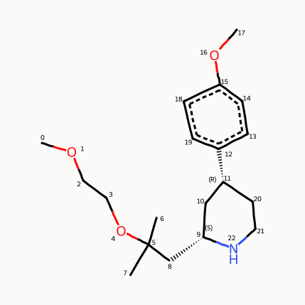 COCCOC(C)(C)C[C@@H]1C[C@H](c2ccc(OC)cc2)CCN1